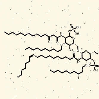 CCCCCC/C=C\CCCCCCCCCC(=O)N[C@H]1[C@H](OC[C@H]2O[C@H](OP(=O)(O)O)[C@H](NC(=O)CC(=O)CCCCCCCCCCC)[C@@H](OCCCCCCCCCC)[C@@H]2O)O[C@H](CC)[C@@H](OP(=O)(O)O)[C@@H]1OCC[C@H](C)CCCCCCC